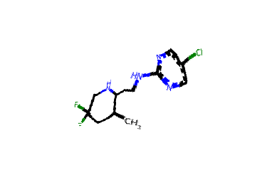 CC1CC(F)(F)CNC1CNc1ncc(Cl)cn1